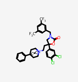 O=C1OC(CC[N+]23CCC(c4ccccc4)(CC2)CC3)(c2ccc(Cl)c(Cl)c2)CN1Cc1cc(C(F)(F)F)cc(C(F)(F)F)c1